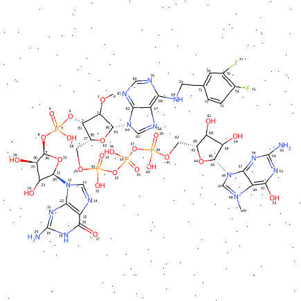 COC1[C@@H](OP(=O)(O)O[C@H]2O[C@@H](n3cnc4c(=O)[nH]c(N)nc43)C(O)[C@H]2O)[C@@H](COP(=O)(O)OP(=O)(O)OP(=O)(O)OC[C@H]2O[C@@H](n3c[n+](C)c4c(O)nc(N)nc43)C(O)C2O)O[C@H]1n1cnc2c(NCc3ccc(F)c(F)c3)ncnc21